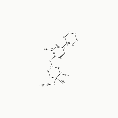 CC1(CC#N)CCN(Cc2ccc(C3=CCCCC3)nc2F)CC1F